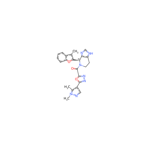 Cc1c([C@H]2c3nc[nH]c3CCN2C(=O)c2nnc(-c3cnn(C)c3C)o2)oc2ccccc12